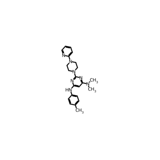 Cc1ccc(Nc2cc(N(C)C)nc(N3CCN(c4ccccn4)CC3)n2)cc1